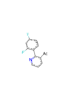 CC(=O)c1cccnc1-c1ccc(F)cc1F